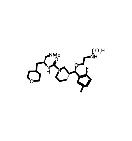 CNC[C@H](CC1CCOCC1)NC(=O)N1CCC[C@@H]([C@@H](OCCNC(=O)O)c2cc(C)ccc2F)C1